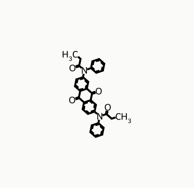 CCC(=O)N(c1ccccc1)c1ccc2c(c1)C(=O)c1cc(N(C(=O)CC)c3ccccc3)ccc1C2=O